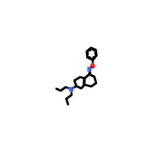 CCCN(CCC)C1CCC2=C(CCCC2=NOc2ccccc2)C1